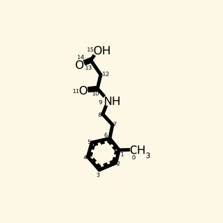 Cc1ccccc1CCNC(=O)CC(=O)O